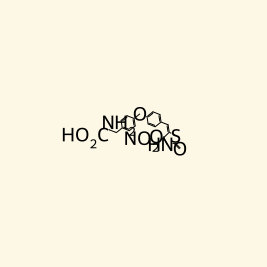 NC(Cc1ccc(Oc2ccc(C=C3SC(=O)NC3=O)cc2)cc1[N+](=O)[O-])C(=O)O